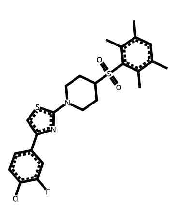 Cc1cc(C)c(C)c(S(=O)(=O)C2CCN(c3nc(-c4ccc(Cl)c(F)c4)cs3)CC2)c1C